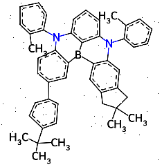 Cc1ccccc1N1c2ccc(-c3ccc(C(C)(C)C)cc3)cc2B2c3cc4c(cc3N(c3ccccc3C)c3cccc1c32)CC(C)(C)C4